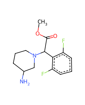 COC(=O)C(c1c(F)cccc1F)N1CCCC(N)C1